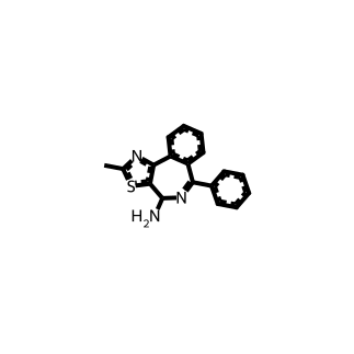 Cc1nc2c(s1)C(N)N=C(c1ccccc1)c1ccccc1-2